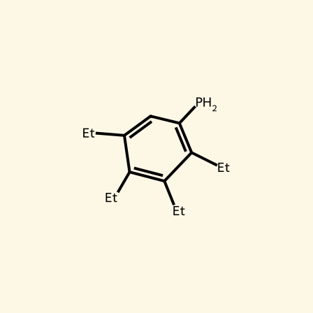 CCc1cc(P)c(CC)c(CC)c1CC